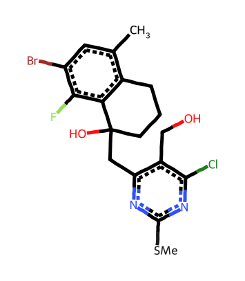 CSc1nc(Cl)c(CO)c(CC2(O)CCCc3c(C)cc(Br)c(F)c32)n1